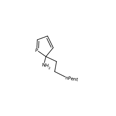 CCCCCCCC1(N)C=CC=P1